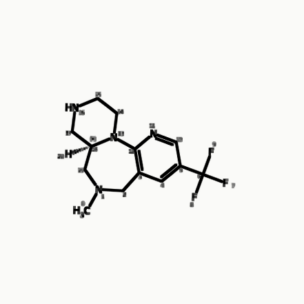 CN1Cc2cc(C(F)(F)F)cnc2N2CCNC[C@@H]2C1